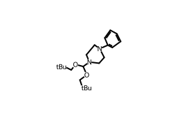 CC(C)(C)COC(OCC(C)(C)C)N1CCN(c2ccccc2)CC1